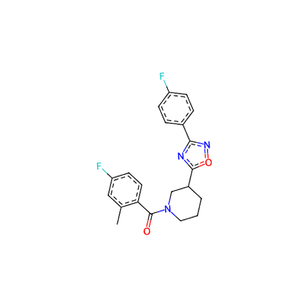 Cc1cc(F)ccc1C(=O)N1CCCC(c2nc(-c3ccc(F)cc3)no2)C1